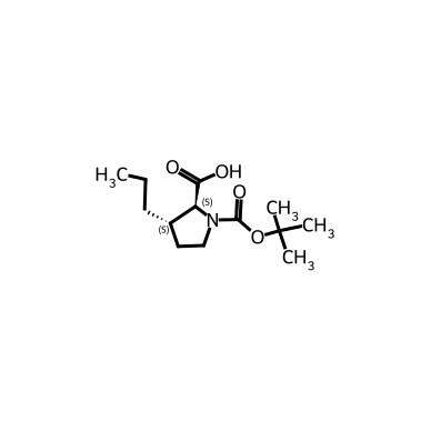 CCC[C@H]1CCN(C(=O)OC(C)(C)C)[C@@H]1C(=O)O